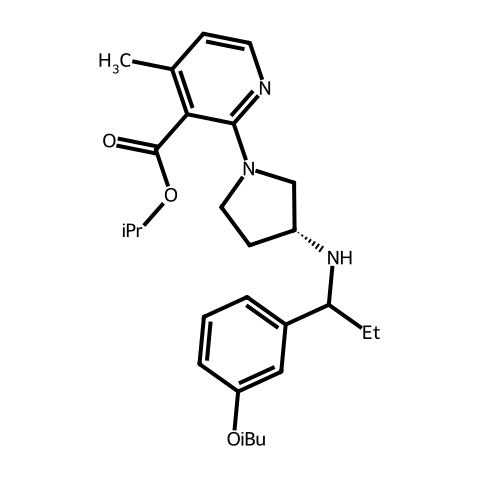 CCC(N[C@@H]1CCN(c2nccc(C)c2C(=O)OC(C)C)C1)c1cccc(OCC(C)C)c1